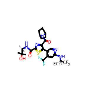 CC[C@H](Nc1cc(C(F)F)c(-c2sc(C(=O)N[C@@H](C)C(C)(C)O)nc2C(=O)N2C3CCC2CC3)cn1)C(F)(F)F